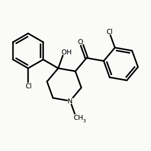 CN1CCC(O)(c2ccccc2Cl)C(C(=O)c2ccccc2Cl)C1